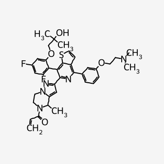 C=CC(=O)N1CCn2nc(-c3nc(-c4cccc(OCCN(C)C)c4)c4ccsc4c3-c3c(F)cc(F)cc3OCC(C)(C)O)cc2C1C